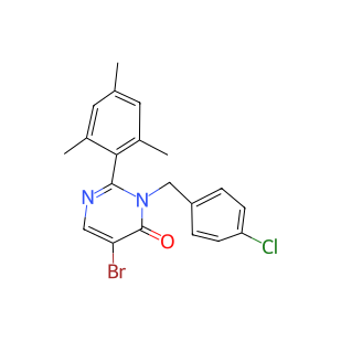 Cc1cc(C)c(-c2ncc(Br)c(=O)n2Cc2ccc(Cl)cc2)c(C)c1